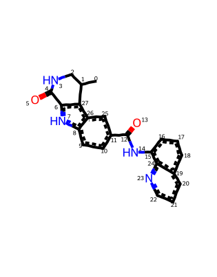 CC1CNC(=O)c2[nH]c3ccc(C(=O)Nc4cccc5cccnc45)cc3c21